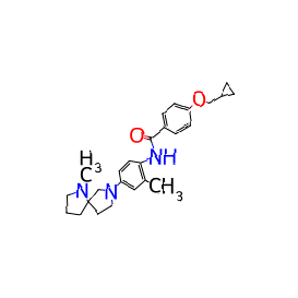 Cc1cc(N2CCC3(CCCN3C)C2)ccc1NC(=O)c1ccc(OCC2CC2)cc1